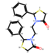 O=C1CSC(c2ccccc2)N1CCN1C(=O)CSC1c1ccccc1